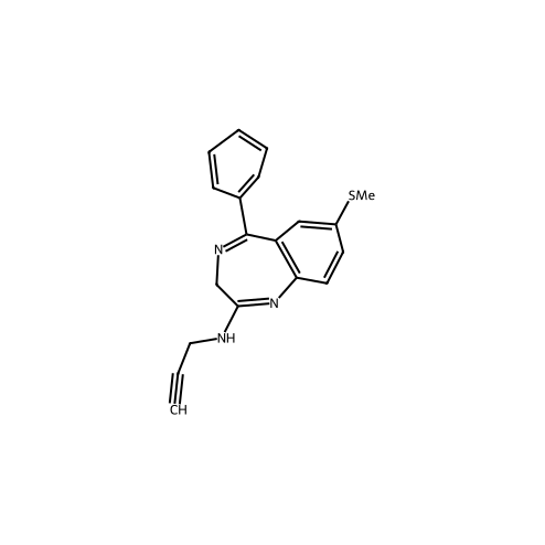 C#CCNC1=Nc2ccc(SC)cc2C(c2ccccc2)=NC1